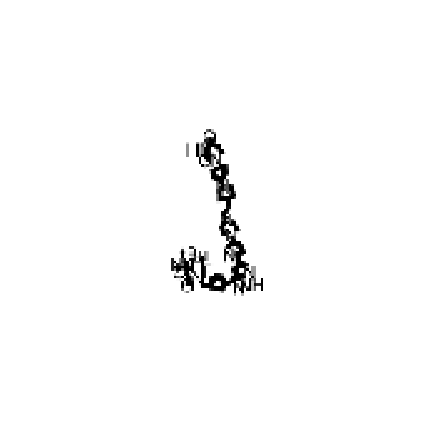 CC(C)(C)c1noc(C(=O)NCc2ccc(-c3n[nH]c4ncc(-c5ccc(N6CCN(CCC7CCN(c8ccc(N9CCC(=O)NC9=O)cc8)CC7)CC6)cn5)cc34)cc2F)n1